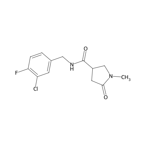 CN1CC(C(=O)NCc2ccc(F)c(Cl)c2)CC1=O